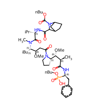 CCCCOC(=O)N1C2CCC(C2)C1C(=O)N[C@H](C(=O)N(C)[C@@H]([C@@H](C)CC)[C@@H](CC(=O)N1CCC[C@H]1[C@H](OC)[C@@H](C)C(=O)N[C@@H](Cc1ccccc1)P(=O)(O)OCCCC)OC)C(C)C